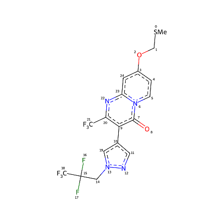 CSCOc1ccn2c(=O)c(-c3cnn(CC(F)(F)C(F)(F)F)c3)c(C(F)(F)F)nc2c1